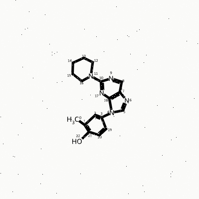 Cc1cc(-n2cnc3cnc(N4CCCCC4)nc32)ccc1O